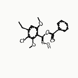 CCc1cc(OC)c(C(=NO)OC(=O)c2ccccc2)c(OC)c1Cl